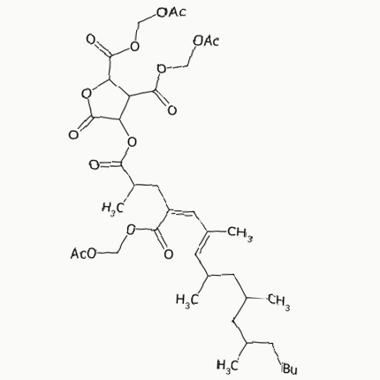 CCC(C)CC(C)CC(C)CC(C)C=C(C)C=C(CC(C)C(=O)OC1C(=O)OC(C(=O)OCOC(C)=O)C1C(=O)OCOC(C)=O)C(=O)OCOC(C)=O